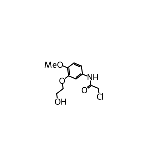 COc1ccc(NC(=O)CCl)cc1OCCO